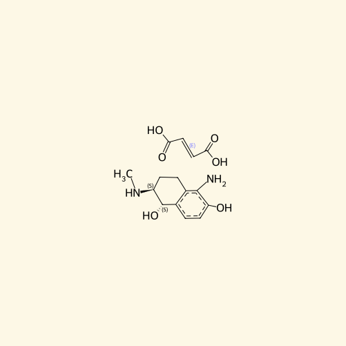 CN[C@H]1CCc2c(ccc(O)c2N)[C@@H]1O.O=C(O)/C=C/C(=O)O